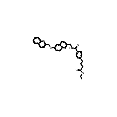 CCOC(=O)CCCc1ccc(C(=O)NCc2ccc3cc(OCc4ccc5ccccc5n4)ccc3c2)cc1